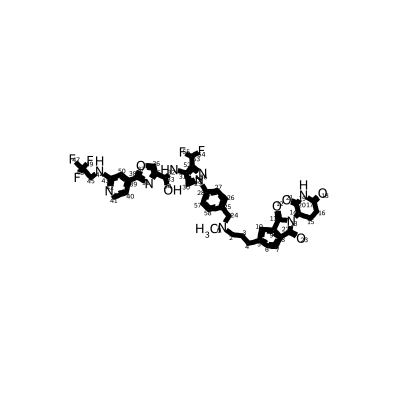 CN(CCCc1ccc2c(c1)C(=O)N(C1CCC(=O)NC1=O)C2=O)Cc1ccc(-n2cc(NC(O)c3coc(-c4ccnc(NCC(F)(F)F)c4)n3)c(C(F)F)n2)cc1